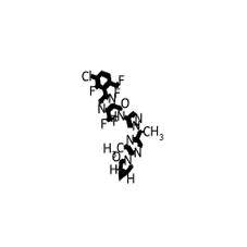 Cc1nc([C@H](C)n2cc(NC(=O)c3nc(-c4c(C(F)F)ccc(Cl)c4F)cnc3C(F)F)cn2)cnc1N1C[C@H]2C[C@H]2C1=O